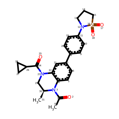 CC(=O)N1c2ccc(-c3ccc(N4CCCS4(=O)=O)cc3)cc2N(C(=O)C2CC2)C[C@@H]1C